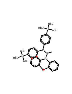 CCCC[Si](CCCC)(CCCC)c1ccc(P(c2ccc([Si](CCCC)(CCCC)CCCC)cc2)N(C)P(c2ccccc2F)c2ccccc2F)cc1